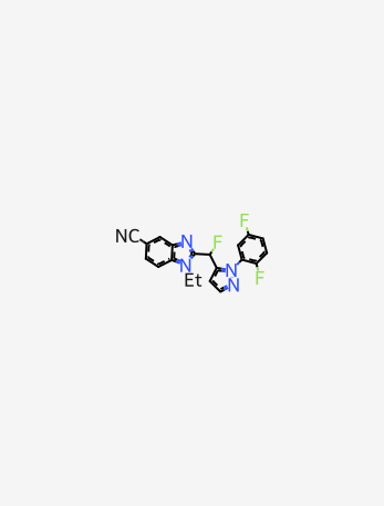 CCn1c(C(F)c2ccnn2-c2cc(F)ccc2F)nc2cc(C#N)ccc21